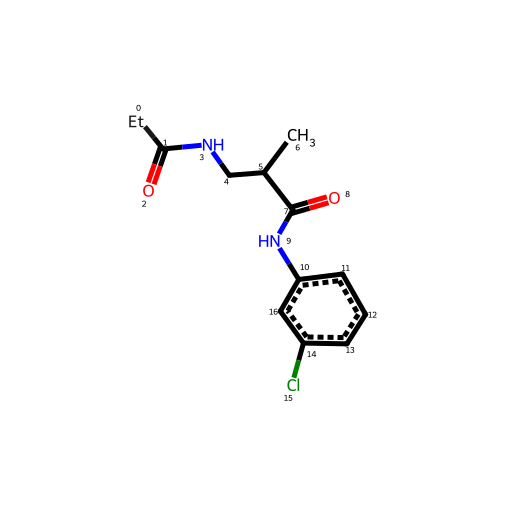 CCC(=O)NCC(C)C(=O)Nc1cccc(Cl)c1